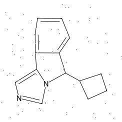 c1ccc2c(c1)-c1cncn1C2C1CCC1